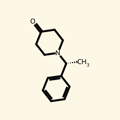 C[C@H](c1ccccc1)N1CCC(=O)CC1